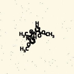 CCOC(=O)C1CNCC1NC(=O)c1c(C)nc2c(OCC)cccn12